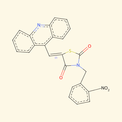 O=C1S/C(=C\c2c3ccccc3nc3ccccc23)C(=O)N1Cc1ccccc1[N+](=O)[O-]